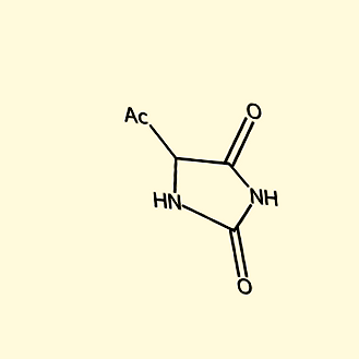 CC(=O)C1NC(=O)NC1=O